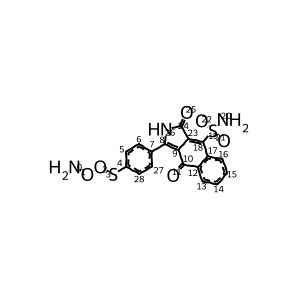 NOOSc1ccc(C2=C3C(=O)c4ccccc4C(S(N)(=O)=O)=C3C(=O)N2)cc1